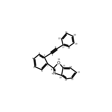 C(#Cc1ccccc1-c1nc2ccccc2o1)c1ccccc1